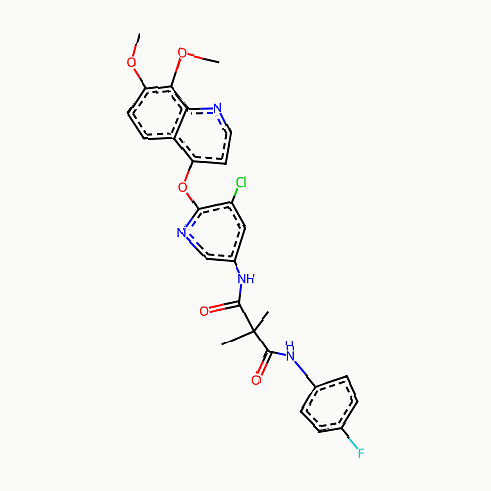 COc1ccc2c(Oc3ncc(NC(=O)C(C)(C)C(=O)Nc4ccc(F)cc4)cc3Cl)ccnc2c1OC